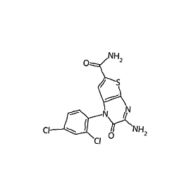 NC(=O)c1cc2c(nc(N)c(=O)n2-c2ccc(Cl)cc2Cl)s1